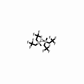 C[Si](CC(F)(F)F)(CC(F)(F)F)O[Si](C)(CC(F)(F)F)CC(F)(F)F